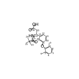 Cc1cccc(C)c1Oc1cccc(C(CC(=O)O)N[S@+]([O-])C(C)(C)C)c1